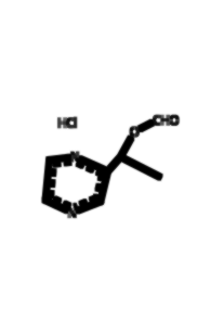 CC(OC=O)c1cnccn1.Cl